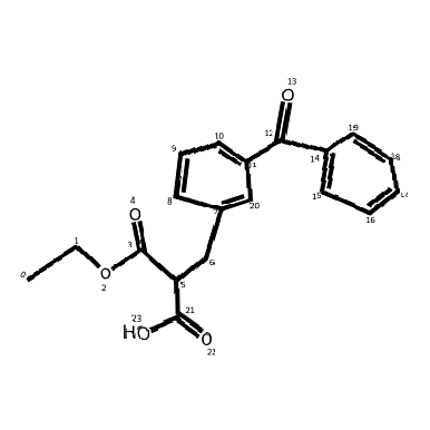 CCOC(=O)C(Cc1cccc(C(=O)c2ccccc2)c1)C(=O)O